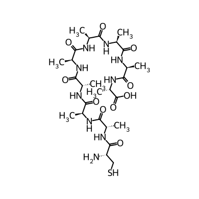 C[C@H](NC(=O)[C@H](C)NC(=O)[C@H](C)NC(=O)[C@H](C)NC(=O)[C@H](C)NC(=O)[C@H](C)NC(=O)[C@H](C)NC(=O)[C@H](C)NC(=O)[C@@H](N)CS)C(=O)O